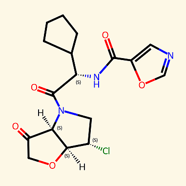 O=C(N[C@H](C(=O)N1C[C@H](Cl)[C@H]2OCC(=O)[C@H]21)C1CCCC1)c1cnco1